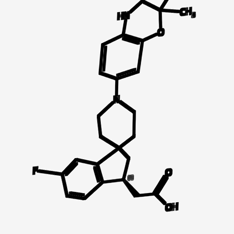 CC1(C)CNc2ccc(N3CCC4(CC3)C[C@@H](CC(=O)O)c3ccc(F)cc34)cc2O1